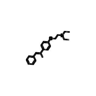 CCN(CC)CCOc1ccc(/C(C)=C/c2ccccc2)cc1